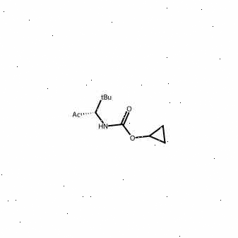 CC(=O)[C@@H](NC(=O)OC1CC1)C(C)(C)C